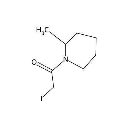 CC1CCCCN1C(=O)CI